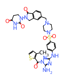 Cc1ccsc1C(=O)n1nc(Nc2ccc(S(=O)(=O)N3CCN(Cc4ccc5c(c4)CN(N4CCC(=O)NC4=O)C5=O)CC3)cc2)nc1N